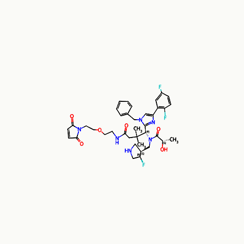 C[C@H](O)C(=O)N(C[C@@H]1CNC[C@@H]1F)[C@@H](c1nc(-c2cc(F)ccc2F)cn1Cc1ccccc1)C(C)(C)CC(=O)NCCOCCN1C(=O)C=CC1=O